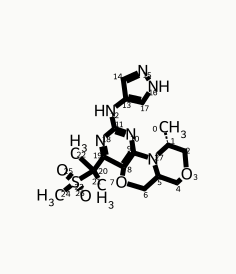 C[C@@H]1COCC2COc3c(nc(Nc4cn[nH]c4)nc3C(C)(C)S(C)(=O)=O)N21